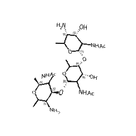 CC(=O)NC1[C@H](O[C@H]2C(C)O[C@@H](O[C@@H]3C(NC(C)=O)[C@H](C)OC(C)[C@@H]3N)C(NC(C)=O)[C@H]2O)OC(C)[C@H](N)[C@@H]1O